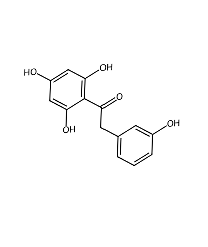 O=C(Cc1cccc(O)c1)c1c(O)cc(O)cc1O